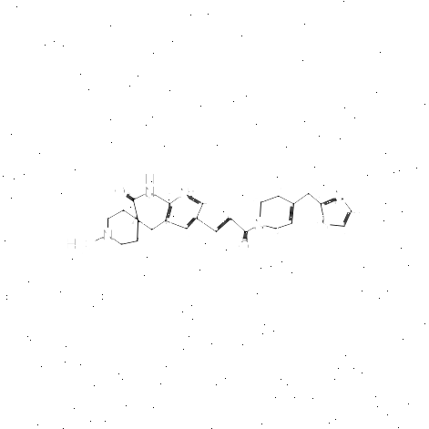 CN1CCC2(CC1)Cc1cc(/C=C/C(=O)N3CC=C(Cc4nccs4)CC3)cnc1NC2=O